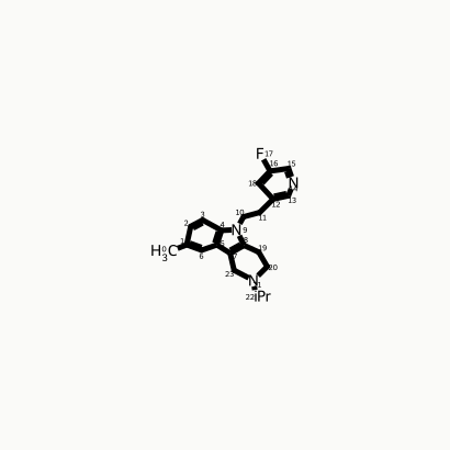 Cc1ccc2c(c1)c1c(n2CCc2cncc(F)c2)CCN(C(C)C)C1